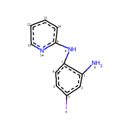 Nc1cc(I)ccc1Nc1ccccn1